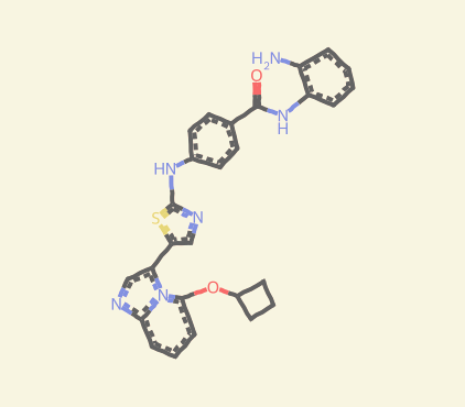 Nc1ccccc1NC(=O)c1ccc(Nc2ncc(-c3cnc4cccc(OC5CCC5)n34)s2)cc1